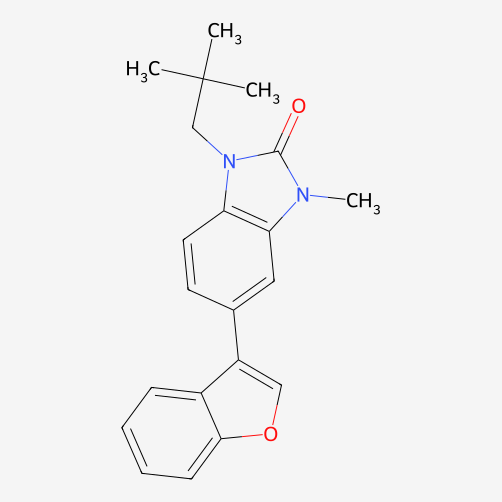 Cn1c(=O)n(CC(C)(C)C)c2ccc(-c3coc4ccccc34)cc21